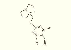 Fc1nc(OCC23CCCN2CCC3)nc2ccncc12